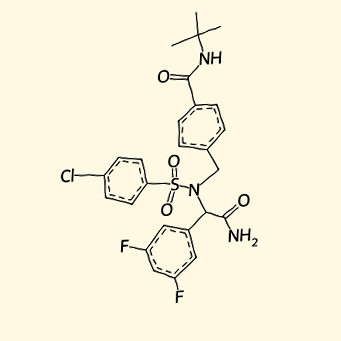 CC(C)(C)NC(=O)c1ccc(CN(C(C(N)=O)c2cc(F)cc(F)c2)S(=O)(=O)c2ccc(Cl)cc2)cc1